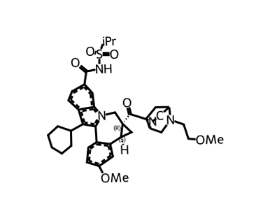 COCCN1CC2CCC1CN2C(=O)[C@]12C[C@H]1c1cc(OC)ccc1-c1c(C3CCCCC3)c3ccc(C(=O)NS(=O)(=O)C(C)C)cc3n1C2